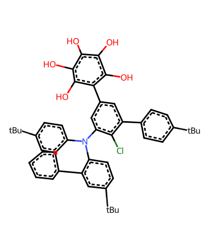 CC(C)(C)c1ccc(-c2cc(-c3c(O)c(O)c(O)c(O)c3O)cc(N(c3ccc(C(C)(C)C)cc3)c3ccc(C(C)(C)C)cc3-c3ccccc3)c2Cl)cc1